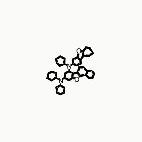 c1ccc(N(c2ccccc2)c2cc(N(c3ccccc3)c3ccc4c(c3)oc3ccccc34)c3c(c2)oc2c4ccccc4ccc23)cc1